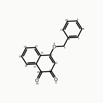 O=C1C=C(OCc2ccccc2)c2ccccc2C1=O